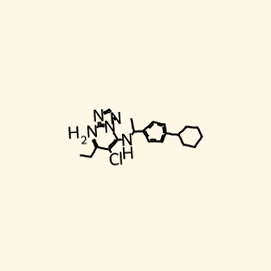 C=C(CC)/C(Cl)=C(/NC(C)c1ccc(C2CCCCC2)cc1)n1ncnc1N